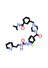 CC(C)=NC(=O)c1cccc(CN2CCN(C(=O)c3ccc(NC(=O)NCCc4ccccn4)c(F)c3)CC2)c1